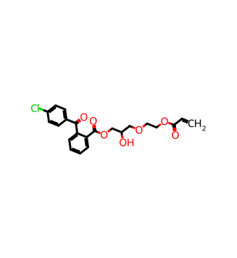 C=CC(=O)OCCOCC(O)COC(=O)c1ccccc1C(=O)c1ccc(Cl)cc1